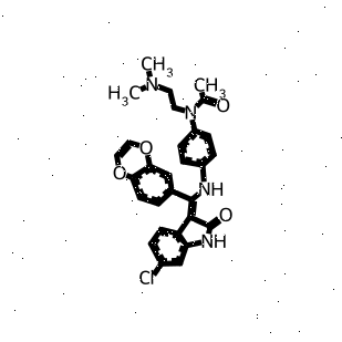 CC(=O)N(CCN(C)C)c1ccc(N/C(=C2\C(=O)Nc3cc(Cl)ccc32)c2ccc3c(c2)OC=CO3)cc1